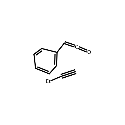 C#CCC.O=C=Cc1ccccc1